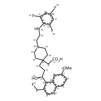 COc1ccc2ncc(CF)c([C@@H](O)CCC3(CC(=O)O)CCN(CCNc4c(F)cc(F)cc4F)CC3)c2c1